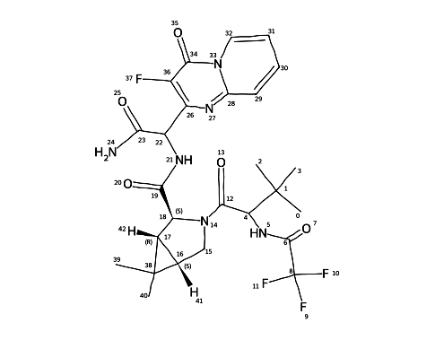 CC(C)(C)C(NC(=O)C(F)(F)F)C(=O)N1C[C@H]2[C@@H]([C@H]1C(=O)NC(C(N)=O)c1nc3ccccn3c(=O)c1F)C2(C)C